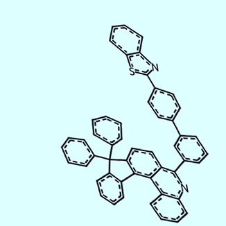 c1ccc(C2(c3ccccc3)c3ccccc3-c3c2ccc2c(-c4cccc(-c5ccc(-c6nc7ccccc7s6)cc5)c4)nc4ccccc4c32)cc1